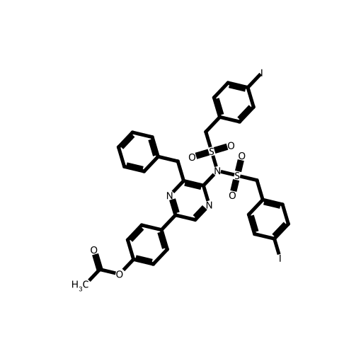 CC(=O)Oc1ccc(-c2cnc(N(S(=O)(=O)Cc3ccc(I)cc3)S(=O)(=O)Cc3ccc(I)cc3)c(Cc3ccccc3)n2)cc1